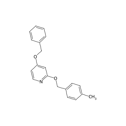 Cc1ccc(COc2cc(OCc3ccccc3)ccn2)cc1